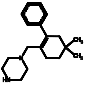 CC1(C)CCC(CN2CCNCC2)=C(c2ccccc2)C1